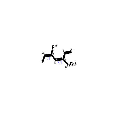 C=C/C(=C\C(F)=C/C)CCCC